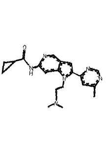 Cc1cc(-c2cc3cnc(NC(=O)C4CC4)cc3n2CCN(C)C)ncn1